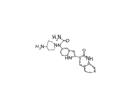 NC(=O)N(c1ccc2[nH]c(-c3cc4ccccc4[nH]c3=O)cc2c1)N1CCC(N)CC1